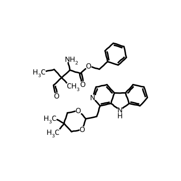 CC1(C)COC(Cc2nccc3c2[nH]c2ccccc23)OC1.CCC(C)(C=O)C(N)C(=O)OCc1ccccc1